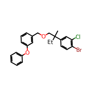 CCC(C)(COCc1cccc(Oc2ccccc2)c1)c1ccc(Br)c(Cl)c1